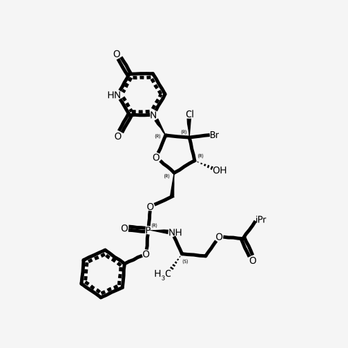 CC(C)C(=O)OC[C@H](C)N[P@@](=O)(OC[C@H]1O[C@@H](n2ccc(=O)[nH]c2=O)[C@](Cl)(Br)[C@@H]1O)Oc1ccccc1